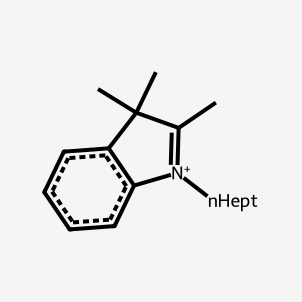 CCCCCCC[N+]1=C(C)C(C)(C)c2ccccc21